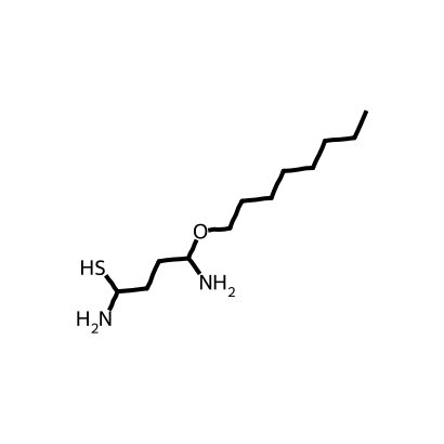 CCCCCCCCOC(N)CCC(N)S